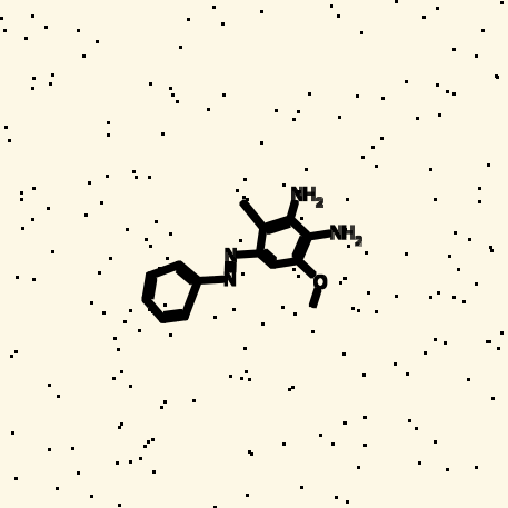 COc1cc(N=Nc2ccccc2)c(C)c(N)c1N